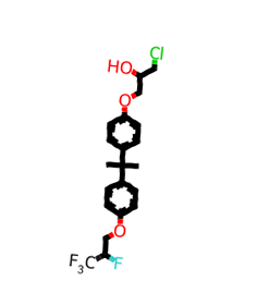 CC(C)(c1ccc(OCC(O)CCl)cc1)c1ccc(OCC(F)C(F)(F)F)cc1